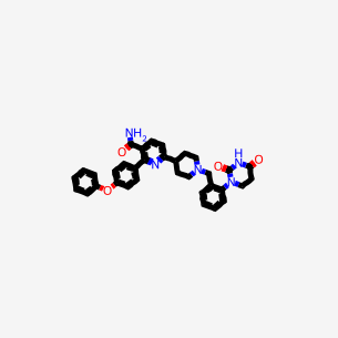 NC(=O)c1ccc(C2CCN(Cc3ccccc3N3CCC(=O)NC3=O)CC2)nc1-c1ccc(Oc2ccccc2)cc1